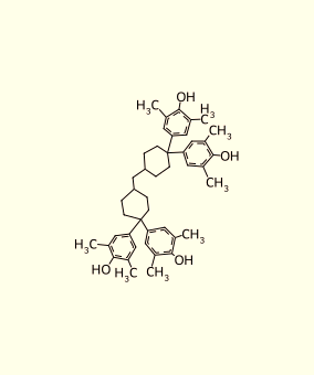 Cc1cc(C2(c3cc(C)c(O)c(C)c3)CCC(CC3CCC(c4cc(C)c(O)c(C)c4)(c4cc(C)c(O)c(C)c4)CC3)CC2)cc(C)c1O